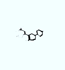 O=C(O)CC(O)c1cc(-c2ccc(Cl)cc2)ccc1F